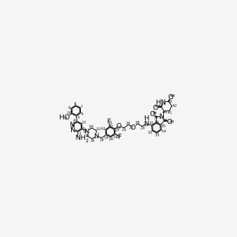 Nc1nnc(-c2ccccc2O)cc1N1CCN(Cc2cc(F)c(OCCOCCNc3cccc4c3C(=O)N(C3CCC(=O)NC3=O)C4=O)c(F)c2)CC1